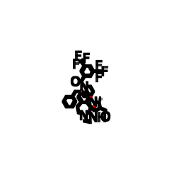 O=CC1C[N+]2(C3CCN(C(=O)c4cc(C(F)(F)F)cc(C(F)(F)F)c4)C(Cc4ccccc4)C3)CCC1C21c2ccccc2CCN2C=CNC21